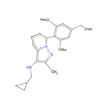 COCc1cc(OC)c(-c2cccc3c(NCC4CC4)c(C)nn23)c(OC)c1